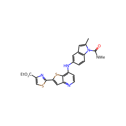 CCOC(=O)c1csc(-c2cc3nccc(Nc4ccc5c(c4)cc(C)n5C(=O)NC)c3s2)n1